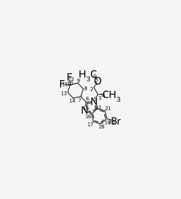 COC[C@@H](C)n1c(C2CCC(F)(F)CC2)nc2ccc(Br)cc21